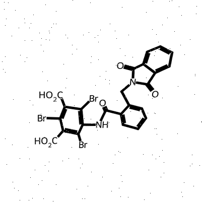 O=C(Nc1c(Br)c(C(=O)O)c(Br)c(C(=O)O)c1Br)c1ccccc1CN1C(=O)c2ccccc2C1=O